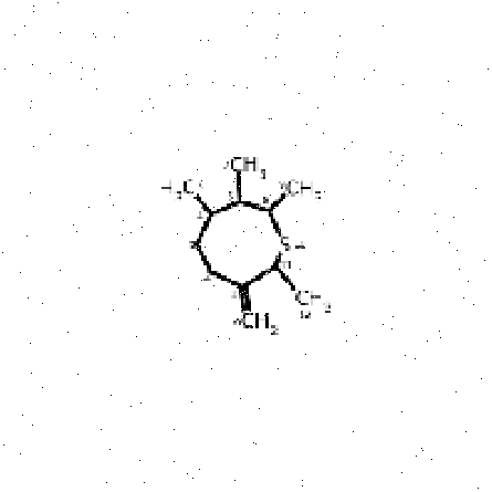 C=C1CCC(C)C(C)C(C)SC1C